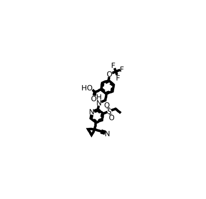 CCS(=O)(=O)c1cc(C2(C#N)CC2)cnc1NCc1ccc(OC(F)(F)F)cc1C(=O)O